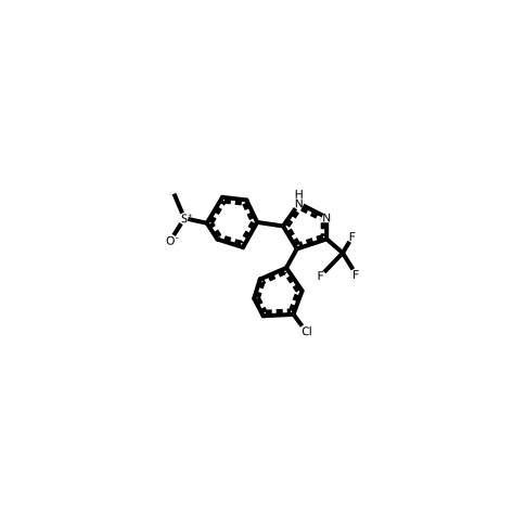 C[S+]([O-])c1ccc(-c2[nH]nc(C(F)(F)F)c2-c2cccc(Cl)c2)cc1